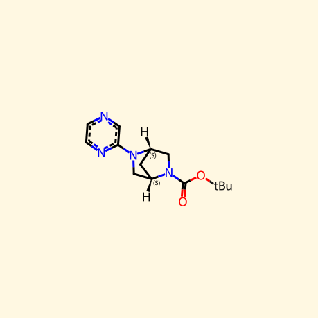 CC(C)(C)OC(=O)N1C[C@@H]2C[C@H]1CN2c1cnccn1